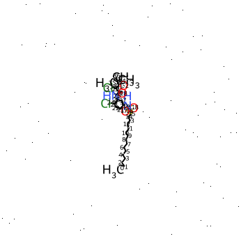 CCCCCCCCCCCCCCCCS(=O)(=O)Nc1ccc(Cl)c(NC(=O)C(Cl)C(=O)C(C)(C)C)c1